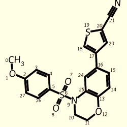 COc1ccc(S(=O)(=O)N2CCOc3ccc(-c4csc(C#N)c4)cc32)cc1